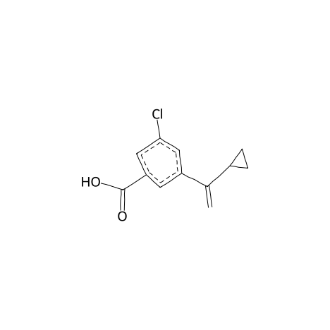 C=C(c1cc(Cl)cc(C(=O)O)c1)C1CC1